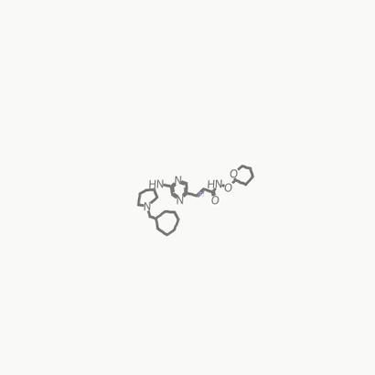 O=C(/C=C/c1cnc(NC2CCCN(CC3CCCCCC3)C2)cn1)NOC1CCCCO1